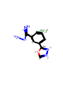 Cl.N=C(NN)c1cccc(-c2nnco2)c1